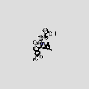 CCOc1cc2c(cc1OC)-c1c/c(=N\c3c(C)cc(C)cc3C)n(CCNC(=O)c3nocc3O)c(=O)n1CC2